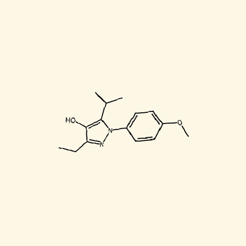 CCc1nn(-c2ccc(OC)cc2)c(C(C)C)c1O